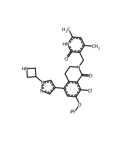 Cc1cc(C)c(CN2CCc3c(-c4cnn(C5CNC5)c4)cc(OC(C)C)c(Cl)c3C2=O)c(=O)[nH]1